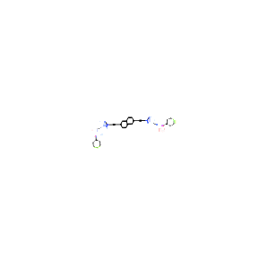 CC(C)(C)C(NC(=O)C1CCC(F)(F)CC1)c1ncc(C#Cc2ccc3cc(C#Cc4cnc([C@@H](NC(=O)C5CCC(F)(F)CC5)C(C)(C)C)[nH]4)ccc3c2)[nH]1